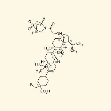 C=C(C)[C@@H]1CC[C@]2(NCC(=O)N3C[C@@H]4C[C@@H]3CS4(=O)=O)CC[C@]3(C)[C@H](CC[C@@H]4[C@@]5(C)CC=C(C6=CC[C@](CF)(C(=O)O)CC6)C(C)(C)[C@@H]5CC[C@]43C)[C@@H]12